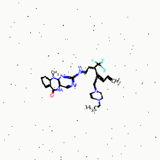 C=C/C=C(CN1CCN(CC)CC1)\C(=C/CNc1ncc2c(n1)N(C)C1=CCCC=C1C(=O)N2)C(F)(F)F